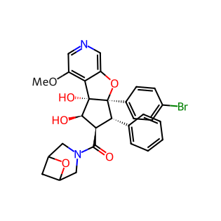 COc1cncc2c1[C@]1(O)[C@H](O)[C@H](C(=O)N3CC4CC(C3)O4)[C@@H](c3ccccc3)[C@]1(c1ccc(Br)cc1)O2